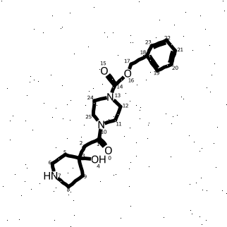 O=C(CC1(O)CCNCC1)N1CCN(C(=O)OCc2ccccc2)CC1